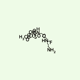 CC(=O)OCC1=C(C(=O)O)N2C(=O)C(NC(=O)Cc3ccc(CNC(CF)CCCCN)cc3)C2SC1